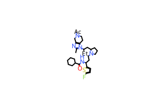 CCC(CC1CCCN1CCC(NC(=O)C1CCCCC1)c1ccc(F)s1)n1c(C)nc2c1CCN(C(C)=O)C2